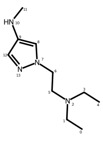 CCN(CC)CCn1cc(NC)cn1